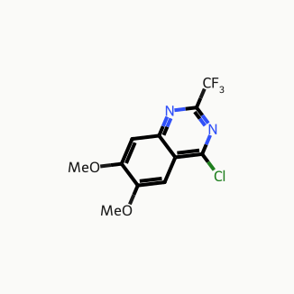 COc1cc2nc(C(F)(F)F)nc(Cl)c2cc1OC